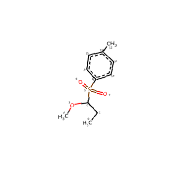 CC[C](OC)S(=O)(=O)c1ccc(C)cc1